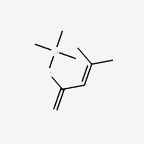 C=C(C=C(C)C)O[Si](C)(C)C